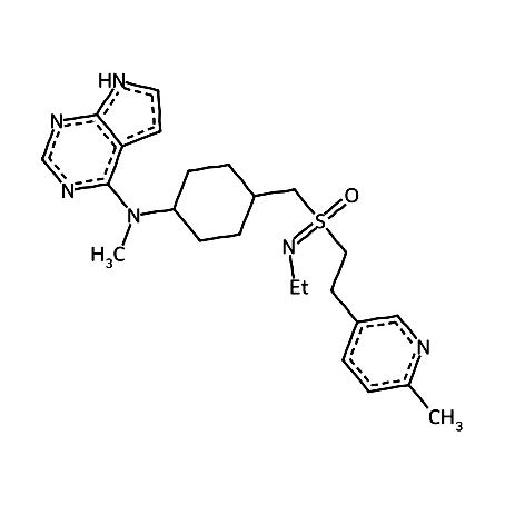 CCN=S(=O)(CCc1ccc(C)nc1)CC1CCC(N(C)c2ncnc3[nH]ccc23)CC1